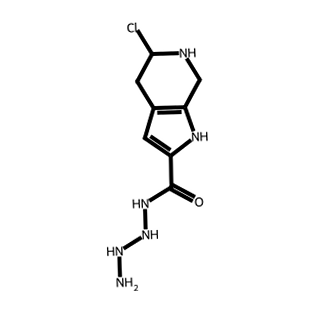 NNNNC(=O)c1cc2c([nH]1)CNC(Cl)C2